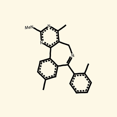 CNc1nc(C)c2c(n1)-c1ccc(C)cc1C(c1ccccc1C)=NC2